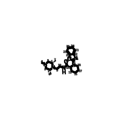 C[C@@H]1CN(C)C[C@H](C)N1CCNC(=O)[C@@H]1CCCCN1c1nc2ccccc2o1